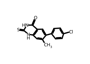 Cc1cc2[nH]c(=S)[nH]c(=O)c2cc1-c1ccc(Cl)cc1